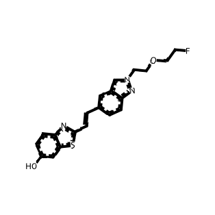 Oc1ccc2nc(/C=C/c3ccc4nn(CCOCCF)cc4c3)sc2c1